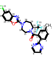 Cc1ccc(-c2ncccn2)c(C(=O)N2CCN(c3nc4cc(Cl)ccc4o3)CC[C@H]2C(F)(F)F)c1